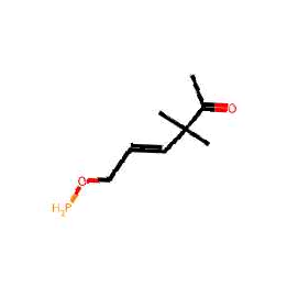 CC(=O)C(C)(C)/C=C/COP